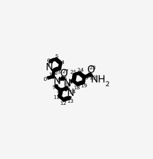 CC(c1ccccn1)N1Cc2cccnc2N(c2ccc(C(N)=O)cc2)C1=O